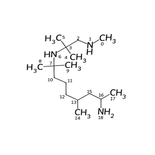 CNCC(C)(C)NC(C)(C)CCCC(C)CC(C)N